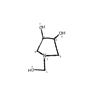 OCN1CC(O)C(O)C1